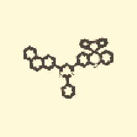 c1ccc(-c2nc(-c3ccc4c(c3)Sc3ccccc3C43c4ccccc4-c4ccccc43)cc(-c3ccc4c(ccc5ccccc54)c3)n2)cc1